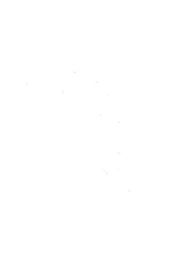 CC(C)(C)Oc1ccnc(C(SCCS(=O)(=O)O)C2CCCC(C(SCCS(=O)(=O)O)c3ccnc(OC(C)(C)C)n3)C2=O)n1